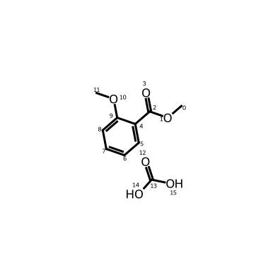 COC(=O)c1ccccc1OC.O=C(O)O